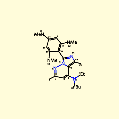 CCCCN(CC)c1cc(C)nn2c(-c3c(NC)cc(NC)cc3NC)nc(C)c12